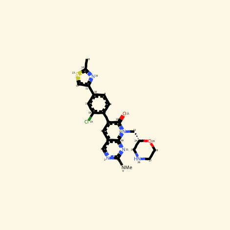 CNc1ncc2cc(-c3ccc(-c4csc(C)n4)cc3Cl)c(=O)n(C[C@H]3CNCCO3)c2n1